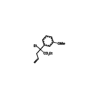 C=CCC(CC)(C(=O)OCC)c1cccc(OC)c1